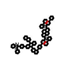 c1ccc(-c2ccc(N(c3ccccc3-c3ccccc3)c3ccc4ccc5c(N(c6ccc(-c7ccc(-c8cccc9ccc(-c%10c%11ccccc%11c(-c%11ccc%12ccccc%12c%11)c%11cc(-c%12ccc(-c%13nc%14ccccc%14n%13-c%13ccccc%13)cc%12)ccc%10%11)cc89)cc7)cc6)c6ccccc6-c6ccccc6)ccc6ccc3c4c65)cc2)cc1